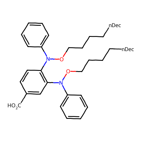 CCCCCCCCCCCCCCON(c1ccccc1)c1ccc(C(=O)O)cc1N(OCCCCCCCCCCCCCC)c1ccccc1